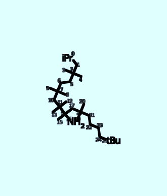 CC(C)CC(C)(C)CCC(C)(C)CC(C)(C)C(C)(N)CC(C)(C)CCCCC(C)(C)C